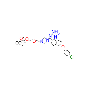 Nc1nc2c(c(N3CCN(CCOCCOC4(C(=O)O)COC4)CC3)n1)CCc1cc(OCc3ccc(Cl)cc3)ccc1-2